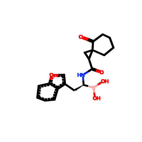 O=C(N[C@@H](Cc1coc2ccccc12)B(O)O)C1CC12CCCCC2=O